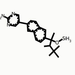 CC(C(C)(C)C)C(C)(O[SiH3])c1ccc2cc(-c3cnc(N)nc3)ccc2c1